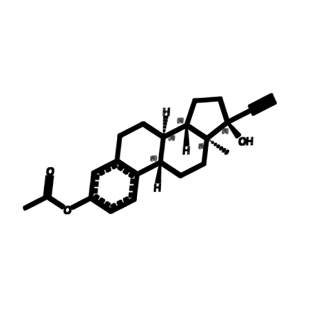 C#C[C@@]1(O)CC[C@H]2[C@@H]3CCc4cc(OC(C)=O)ccc4[C@H]3CC[C@@]21C